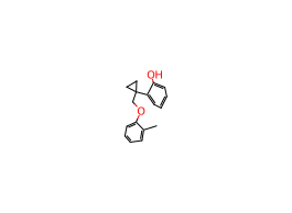 Cc1ccccc1OCC1(c2ccccc2O)CC1